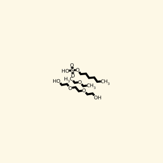 CCCCCCOS(=O)(=O)O.CCOCC.OCCOCCOCCO